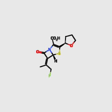 C/C(CF)=C1\C(=O)N2C(C(=O)O)=C([C@H]3CCCO3)S[C@H]12